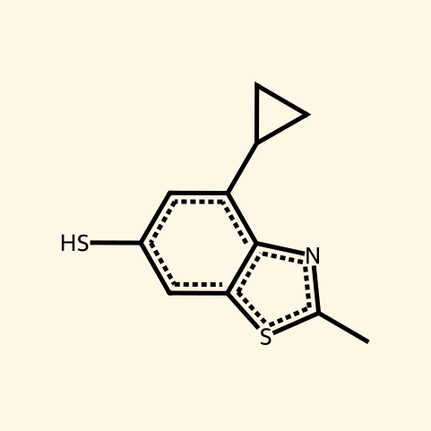 Cc1nc2c(C3CC3)cc(S)cc2s1